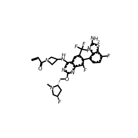 C=CC(=O)N1CC(Nc2nc(OC[C@@H]3C[C@@H](F)CN3C)nc3c(F)c(-c4ccc(F)c5sc(N)nc45)c(C(F)(F)F)cc23)C1